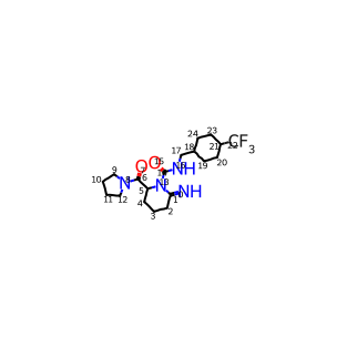 N=C1CCCC(C(=O)N2CCCC2)N1C(=O)NCC1CCC(C(F)(F)F)CC1